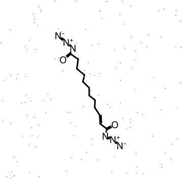 [N-]=[N+]=NC(=O)/C=C/CCCCCCCCC(=O)N=[N+]=[N-]